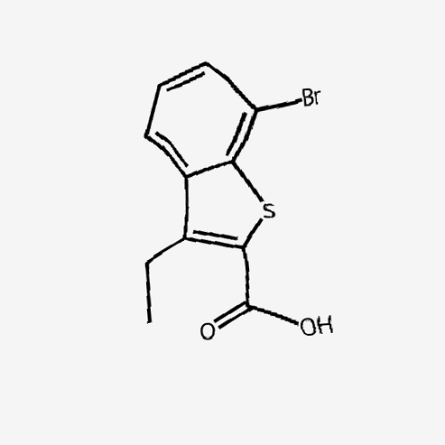 CCc1c(C(=O)O)sc2c(Br)cccc12